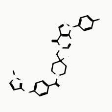 Cn1ccc(Oc2ccc(C(=O)N3CCC(O)(Cn4cnc5c(cnn5-c5ccc(F)cc5)c4=O)CC3)cc2)n1